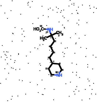 CC(C)(CCCCC1CCNCC1)NC(=O)O